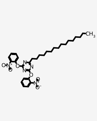 CCCCCCCCCCCCCCCCc1nc(Oc2ccccc2[N+](=O)[O-])nc(Oc2ccccc2[N+](=O)[O-])n1